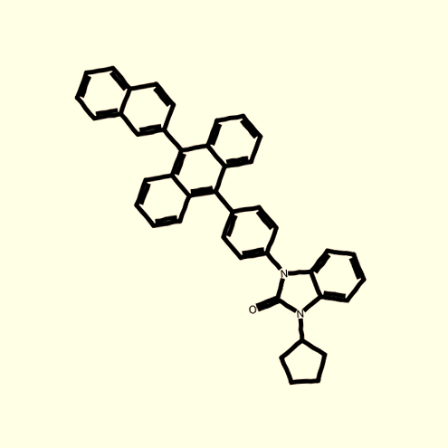 O=c1n(-c2ccc(-c3c4ccccc4c(-c4ccc5ccccc5c4)c4ccccc34)cc2)c2ccccc2n1C1CCCC1